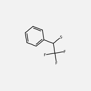 FC(F)(F)C([S])c1ccccc1